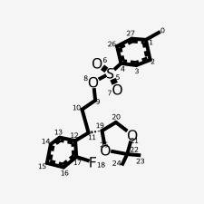 Cc1ccc(S(=O)(=O)OCCC(c2ccccc2F)[C@@H]2COC(C)(C)O2)cc1